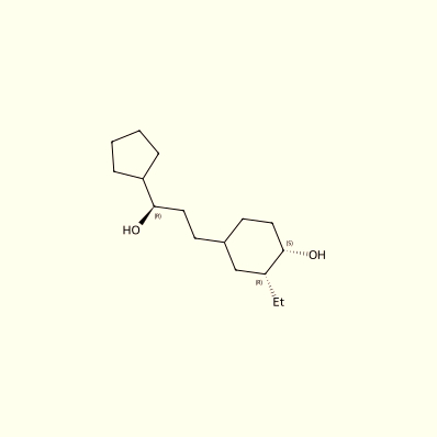 CC[C@@H]1CC(CC[C@@H](O)C2CCCC2)CC[C@@H]1O